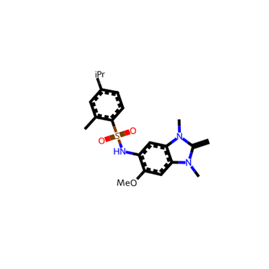 C=C1N(C)c2cc(NS(=O)(=O)c3ccc(C(C)C)cc3C)c(OC)cc2N1C